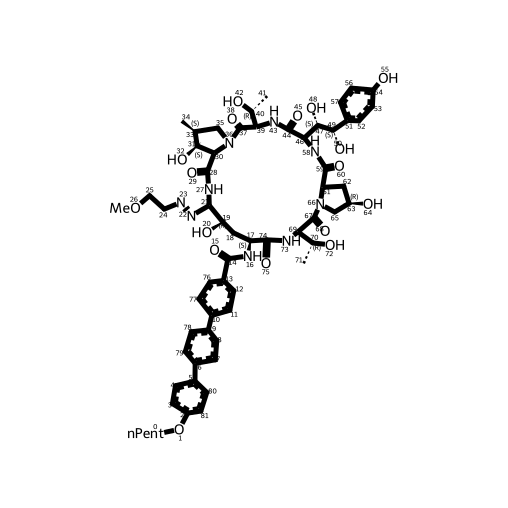 CCCCCOc1ccc(-c2ccc(-c3ccc(C(=O)N[C@H]4C[C@@H](O)C(N=NCCOC)NC(=O)C5[C@@H](O)[C@@H](C)CN5C(=O)C([C@@H](C)O)NC(=O)C([C@H](O)[C@@H](O)c5ccc(O)cc5)NC(=O)C5C[C@@H](O)CN5C(=O)C([C@@H](C)O)NC4=O)cc3)cc2)cc1